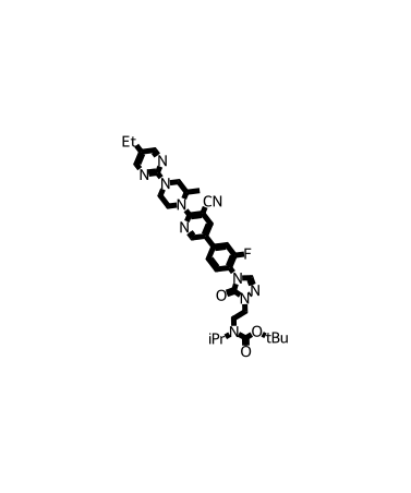 CCc1cnc(N2CCN(c3ncc(-c4ccc(-n5cnn(CCN(C(=O)OC(C)(C)C)C(C)C)c5=O)c(F)c4)cc3C#N)C(C)C2)nc1